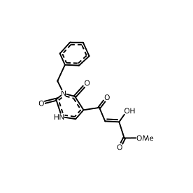 COC(=O)C(O)=CC(=O)c1c[nH]c(=O)n(Cc2ccccc2)c1=O